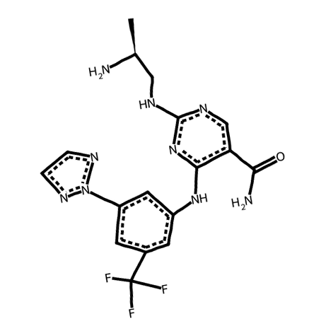 C[C@H](N)CNc1ncc(C(N)=O)c(Nc2cc(-n3nccn3)cc(C(F)(F)F)c2)n1